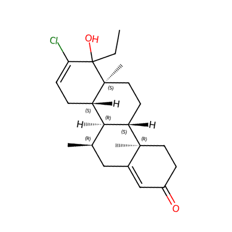 CCC1(O)C(Cl)=CC[C@H]2[C@@H]3[C@H](C)CC4=CC(=O)CC[C@]4(C)[C@H]3CC[C@@]21C